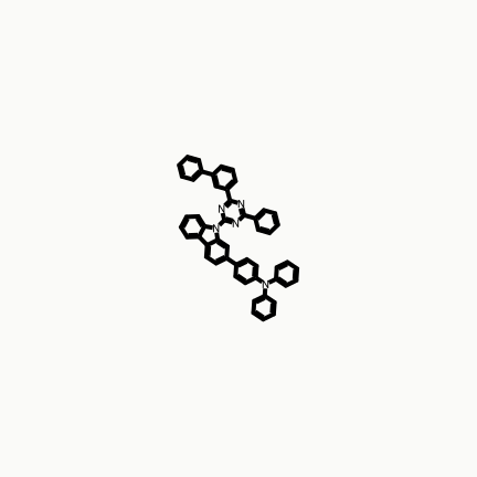 c1ccc(-c2cccc(-c3nc(-c4ccccc4)nc(-n4c5ccccc5c5ccc(-c6ccc(N(c7ccccc7)c7ccccc7)cc6)cc54)n3)c2)cc1